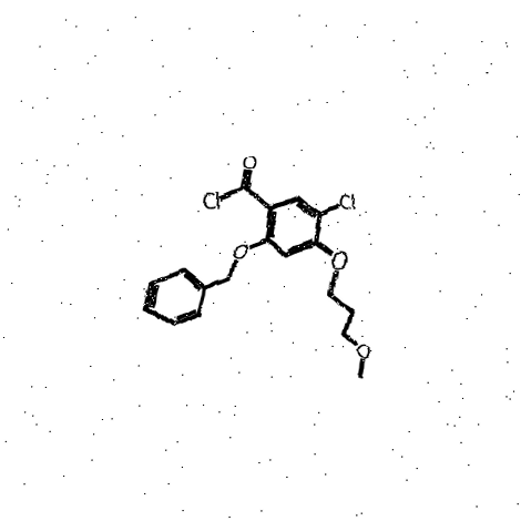 COCCCOc1cc(OCc2ccccc2)c(C(=O)Cl)cc1Cl